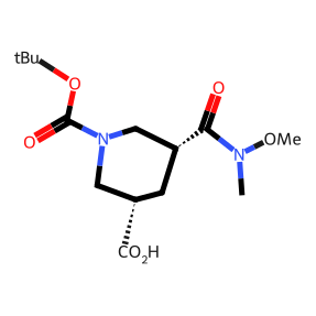 CON(C)C(=O)[C@@H]1C[C@H](C(=O)O)CN(C(=O)OC(C)(C)C)C1